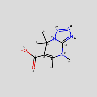 CC1=C(C(=O)O)C(C)(C)n2nnnc2N1C